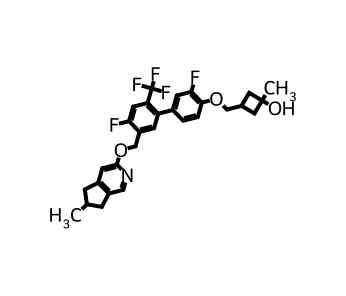 CC1Cc2cnc(OCc3cc(-c4ccc(OCC5CC(C)(O)C5)c(F)c4)c(C(F)(F)F)cc3F)cc2C1